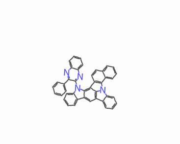 c1ccc(-c2nc3ccccc3nc2-n2c3ccccc3c3cc4c5ccccc5n5c6c7ccccc7ccc6c(c32)c45)cc1